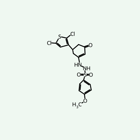 COc1ccc(S(=O)(=O)NNC2=CC(=O)CC(c3cc(Cl)sc3Cl)C2)cc1